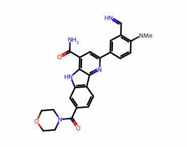 CNc1ccc(-c2cc(C(N)=O)c3[nH]c4cc(C(=O)N5CCOCC5)ccc4c3n2)cc1C=N